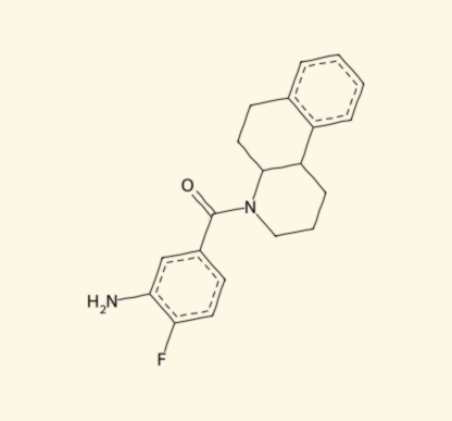 Nc1cc(C(=O)N2CCCC3c4ccccc4CCC32)ccc1F